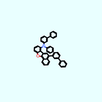 c1ccc(-c2cccc(-c3cc4c(oc5cccc(N(c6ccccc6)c6cccc(-c7ccccc7)c6)c54)c4ccccc34)c2)cc1